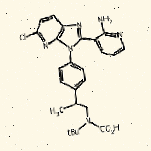 CC(CN(C(=O)O)C(C)(C)C)c1ccc(-n2c(-c3cccnc3N)nc3ccc(Cl)nc32)cc1